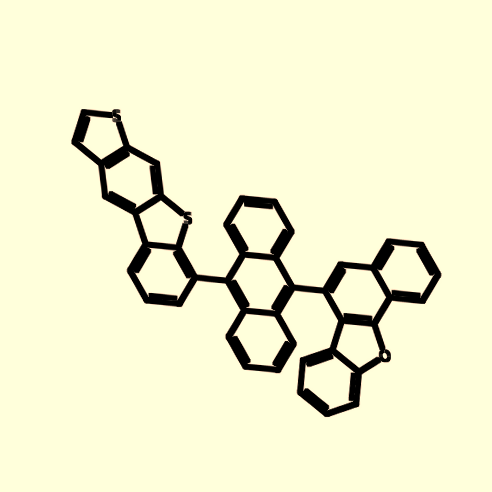 c1ccc2c(c1)cc(-c1c3ccccc3c(-c3cccc4c3sc3cc5sccc5cc34)c3ccccc13)c1c3ccccc3oc21